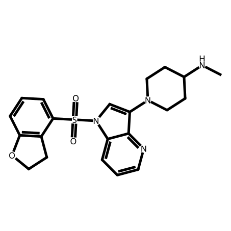 CNC1CCN(c2cn(S(=O)(=O)c3cccc4c3CCO4)c3cccnc23)CC1